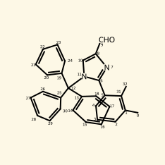 Cc1cccc(-c2nc(C=O)cn2C(c2ccccc2)(c2ccccc2)c2ccccc2)c1C